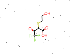 O=C(O)C(SCCO)C(=O)C(F)(F)F